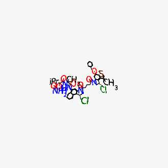 Cc1csc2c(OCc3ccccc3)cc3c(c12)C(CCl)CN3C(=O)CCCC(=O)N1C[C@@H](CCl)c2c1cc(NC(=O)C(C)NC(=O)C(OC(N)=O)C(C)C)c1ccccc21